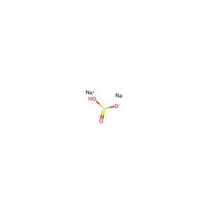 O=S([O-])O.[Na+].[Na]